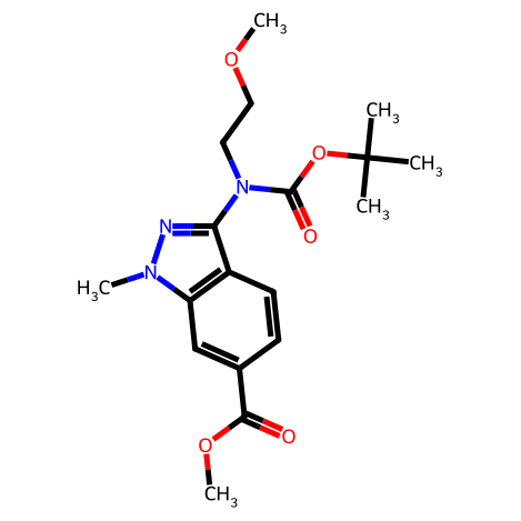 COCCN(C(=O)OC(C)(C)C)c1nn(C)c2cc(C(=O)OC)ccc12